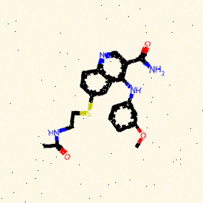 COc1cccc(Nc2c(C(N)=O)cnc3ccc(SCCNC(C)=O)cc23)c1